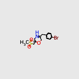 CS(=O)(=O)C[C@H]1CN[C@@H](Cc2ccc(Br)cc2)CO1